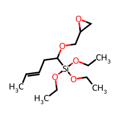 CC=CCC(OCC1CO1)[Si](OCC)(OCC)OCC